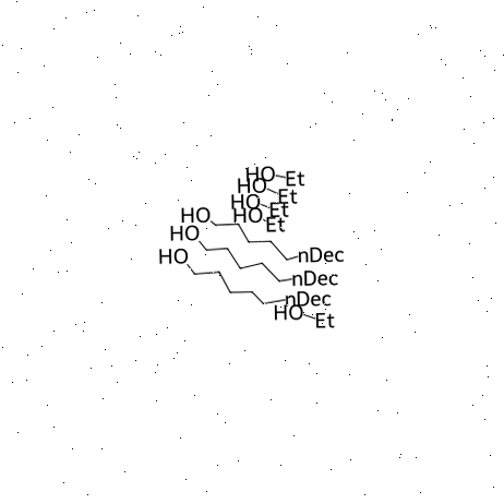 CCCCCCCCCCCCCCCO.CCCCCCCCCCCCCCCO.CCCCCCCCCCCCCCCO.CCO.CCO.CCO.CCO.CCO